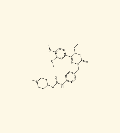 CCC1SC(=O)N(Cc2ccc(NC(=O)OC3CCN(C)CC3)cc2)N=C1c1ccc(OC)c(OC)c1